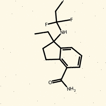 CCC1(NC(F)(F)CF)CCc2c(C(N)=O)cccc21